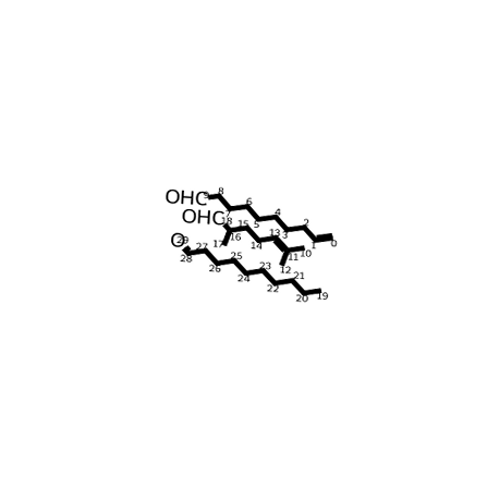 C=CCCCCCCCC=O.CC(C)=CCCC(C)C=O.CCCCCCCCCC=O